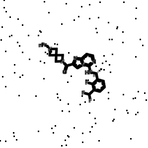 CCCN1CC2(C1)CN(C(=O)c1cn3c(N[C@H](C)c4cccc(C(F)F)c4F)nccc3n1)C2